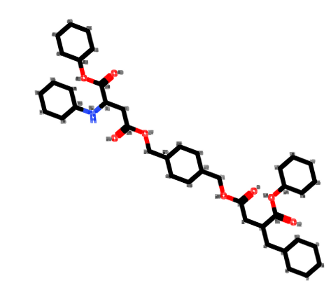 O=C(CC(CC1CCCCC1)C(=O)OC1CCCCC1)OCC1CCC(COC(=O)CC(NC2CCCCC2)C(=O)OC2CCCCC2)CC1